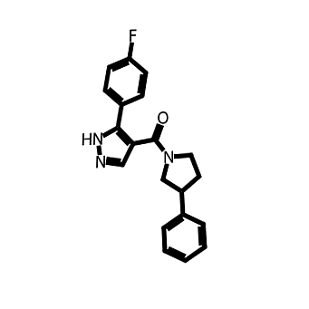 O=C(c1cn[nH]c1-c1ccc(F)cc1)N1CCC(c2ccccc2)C1